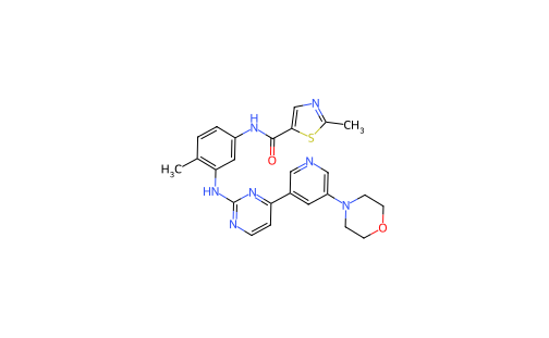 Cc1ncc(C(=O)Nc2ccc(C)c(Nc3nccc(-c4cncc(N5CCOCC5)c4)n3)c2)s1